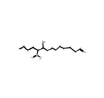 CCCCC(C(O)CCCCCCC[C]=O)[N+](=O)[O-]